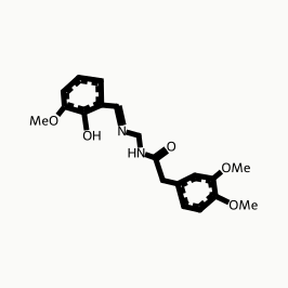 COc1ccc(CC(=O)NC/N=C/c2cccc(OC)c2O)cc1OC